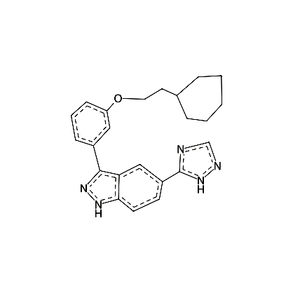 c1cc(OCCC2CCCCC2)cc(-c2n[nH]c3ccc(-c4ncn[nH]4)cc23)c1